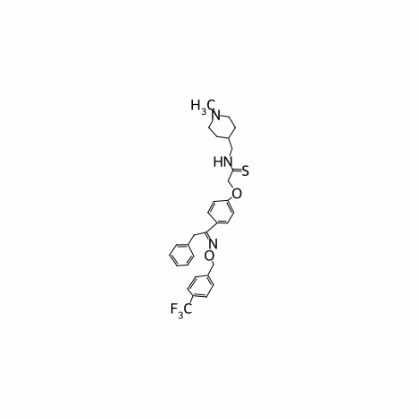 CN1CCC(CNC(=S)COc2ccc(/C(Cc3ccccc3)=N/OCc3ccc(C(F)(F)F)cc3)cc2)CC1